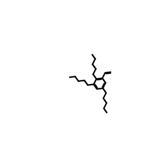 C=Cc1cc(CCCCC)cc(CCCCC)c1CCCCC